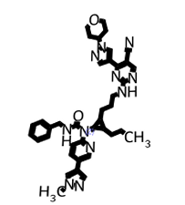 CCCC1/C(=[N+](/C(=O)NCc2ccccc2)c2ccc(-c3cnn(C)c3)cn2)C1CCCNc1ncc(C#N)c(-c2cnn(C3CCOCC3)c2)n1